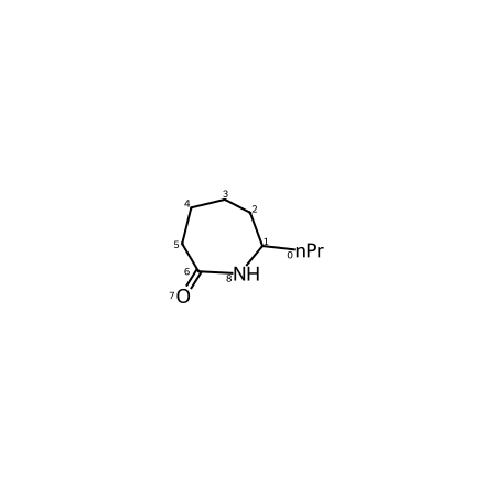 CCCC1CCCCC(=O)N1